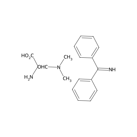 CN(C)C=O.N=C(c1ccccc1)c1ccccc1.NCC(=O)O